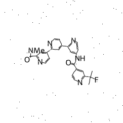 CNC(=O)c1cc(-c2cc(-c3cc(NC(=O)c4ccnc(C(C)(C)F)c4)ccn3)ccn2)ccn1